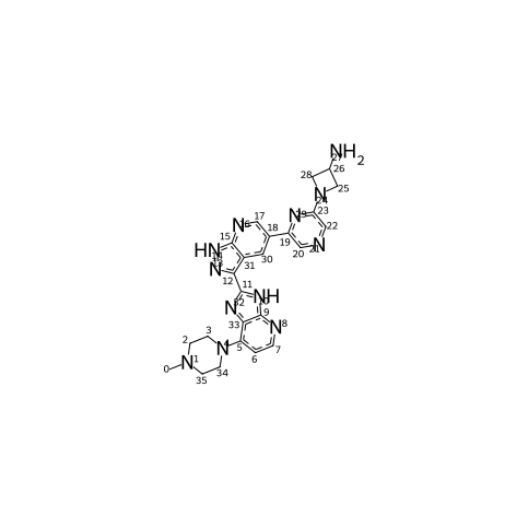 CN1CCN(c2ccnc3[nH]c(-c4n[nH]c5ncc(-c6cncc(N7CC(N)C7)n6)cc45)nc23)CC1